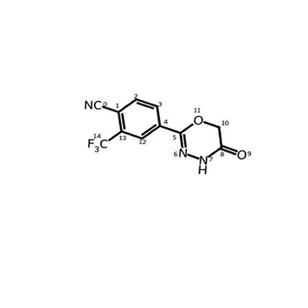 N#Cc1ccc(C2=NNC(=O)CO2)cc1C(F)(F)F